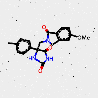 COc1ccc2c(c1)CN(CC1(c3ccc(C)cc3)NC(=O)NC1=O)C2=O